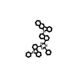 c1ccc(-c2nc(-c3cccc4c(-n5c6ccccc6c6cc7ccccc7cc65)cccc34)nc(-c3cccc4c3c3ccccc3n4-c3ccccc3)n2)cc1